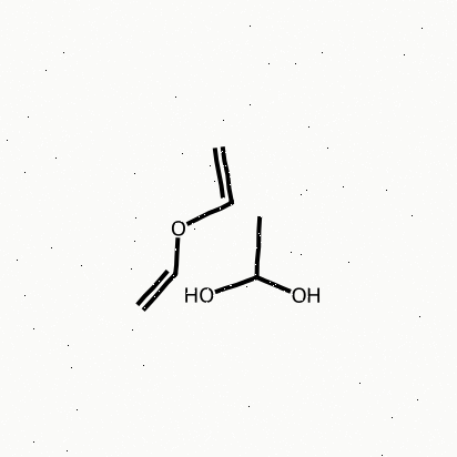 C=COC=C.CC(O)O